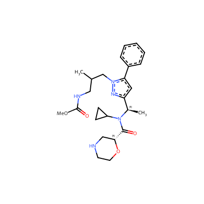 COC(=O)NCC(C)Cn1nc([C@@H](C)N(C(=O)[C@H]2CNCCO2)C2CC2)cc1-c1ccccc1